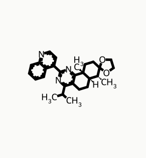 CC(C)c1nc(-c2ccnc3ccccc23)nc2c1CC[C@@H]1[C@@H](C)C3(CC[C@@]21C)OCCO3